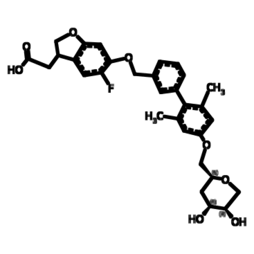 Cc1cc(OC[C@@H]2C[C@H](O)[C@H](O)CO2)cc(C)c1-c1cccc(COc2cc3c(cc2F)C(CC(=O)O)CO3)c1